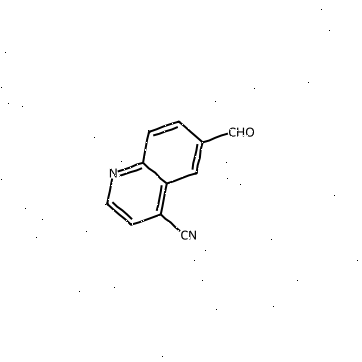 N#Cc1ccnc2ccc(C=O)cc12